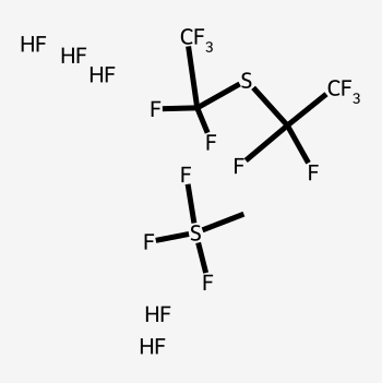 CS(F)(F)F.F.F.F.F.F.FC(F)(F)C(F)(F)SC(F)(F)C(F)(F)F